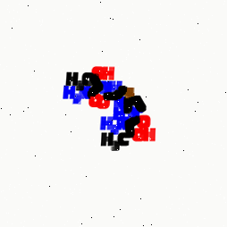 C[C@@H](O)[C@H](N)C(=O)N1CCC2(C1)NC(C(=O)N[C@H](C(N)=O)[C@@H](C)O)CS2